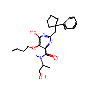 CCCCOc1c(O)nc(CC2(c3ccccc3)CCCC2)nc1C(=O)N(C)C(C)CO